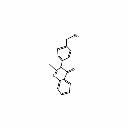 Cc1nc2ccccc2c(=O)n1-c1ccc(CC(C)(C)C)cc1